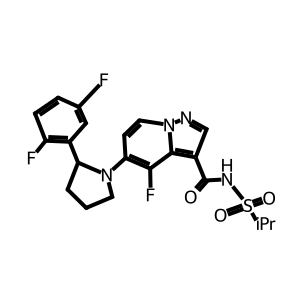 CC(C)S(=O)(=O)NC(=O)c1cnn2ccc(N3CCCC3c3cc(F)ccc3F)c(F)c12